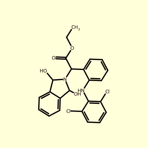 CCOC(=O)C(c1ccccc1Nc1c(Cl)cccc1Cl)N1C(O)c2ccccc2C1O